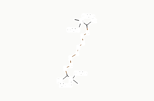 CCC(SSSSSSSSC(CC)[Si](C)(OC)OC)[Si](C)(OC)OC